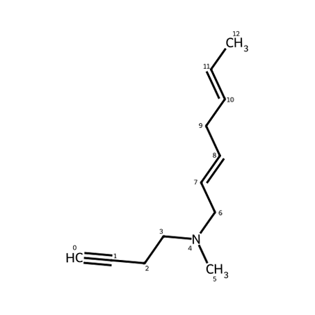 C#CCCN(C)C/C=C/C/C=C/C